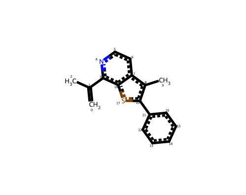 C=C(C)c1nccc2c(C)c(-c3ccccc3)sc12